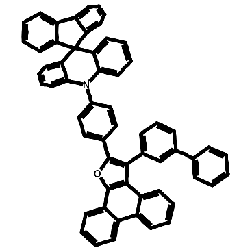 c1ccc(-c2cccc(-c3c(-c4ccc(N5c6ccccc6C6(c7ccccc7-c7ccccc76)c6ccccc65)cc4)oc4c5ccccc5c5ccccc5c34)c2)cc1